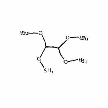 CC(C)(C)OC(O[SiH3])C(OC(C)(C)C)OC(C)(C)C